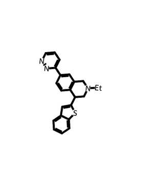 CCN1Cc2cc(-c3cccnn3)ccc2C(c2cc3ccccc3s2)C1